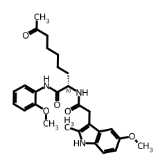 COc1ccc2[nH]c(C)c(CC(=O)N[C@@H](CCCCCC(C)=O)C(=O)Nc3ccccc3OC)c2c1